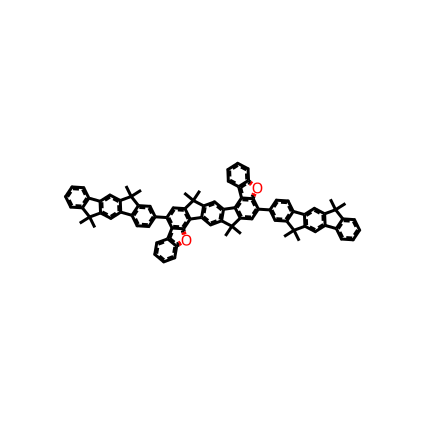 CC1(C)c2ccccc2-c2cc3c(cc21)-c1ccc(-c2cc4c(c5c2oc2ccccc25)-c2cc5c(cc2C4(C)C)-c2c(cc(-c4ccc6c(c4)C(C)(C)c4cc7c(cc4-6)C(C)(C)c4ccccc4-7)c4c2oc2ccccc24)C5(C)C)cc1C3(C)C